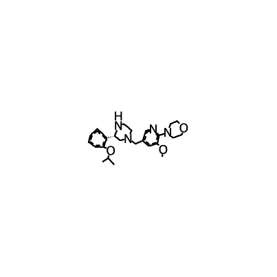 COc1cc(CN2CCN[C@@H](c3ccccc3OC(C)C)C2)cnc1N1CCOCC1